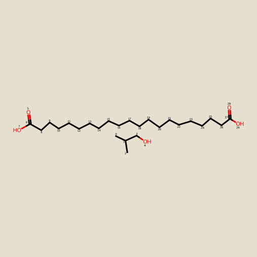 CC(C)CO.O=C(O)CCCCCCCCCCCCCCCCCCCC(=O)O